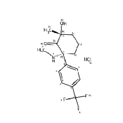 CN[C@@]1(c2ccc(C(F)(F)F)cc2)CCC[C@@](C)(O)C1=O.Cl